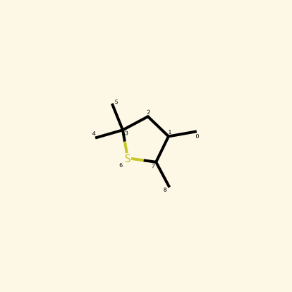 CC1CC(C)(C)SC1C